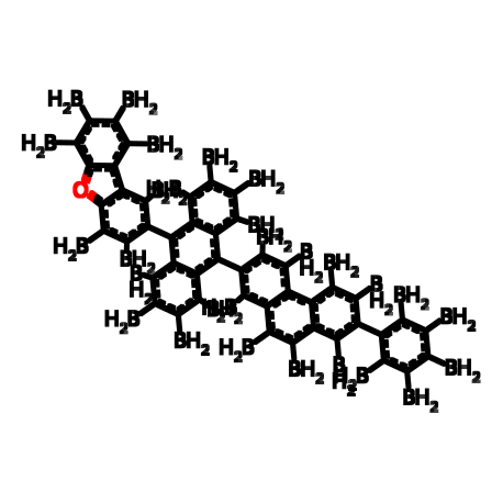 Bc1c(B)c(B)c(-c2c(B)c(B)c3c(c2B)c(B)c(B)c2c(B)c(-c4c5c(B)c(B)c(B)c(B)c5c(-c5c(B)c(B)c6oc7c(B)c(B)c(B)c(B)c7c6c5B)c5c(B)c(B)c(B)c(B)c45)c(B)c(B)c23)c(B)c1B